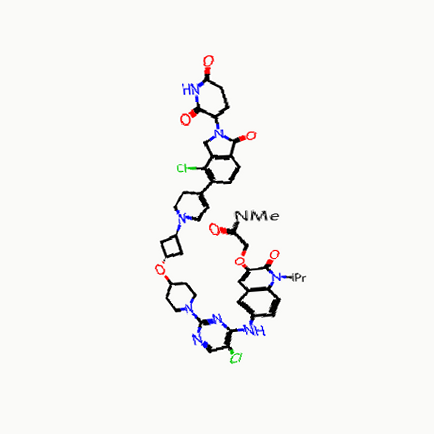 CNC(=O)COc1cc2cc(Nc3nc(N4CCC(O[C@H]5C[C@H](N6CC=C(c7ccc8c(c7Cl)CN(C7CCC(=O)NC7=O)C8=O)CC6)C5)CC4)ncc3Cl)ccc2n(C(C)C)c1=O